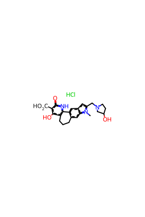 Cl.Cn1c(CN2CCC(O)C2)cc2cc3c(cc21)CCCc1c-3[nH]c(=O)c(C(=O)O)c1O